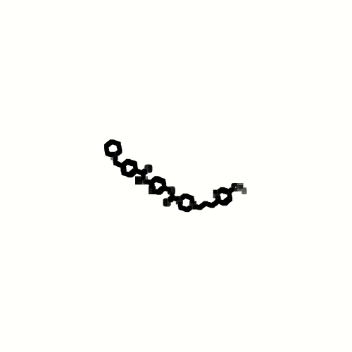 Cc1ccc(CCCN2CCN(C(=O)Oc3ccc(NC(=O)c4ccc(CN5CCCCC5)cc4)nc3)CC2)nc1